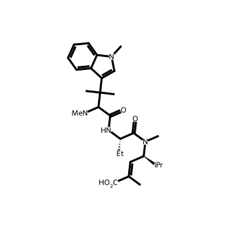 CC[C@H](NC(=O)C(NC)C(C)(C)c1cn(C)c2ccccc12)C(=O)N(C)[C@H](/C=C(\C)C(=O)O)C(C)C